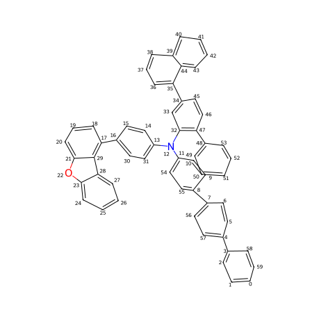 c1ccc(-c2ccc(-c3ccc(N(c4ccc(-c5cccc6oc7ccccc7c56)cc4)c4cc(-c5cccc6ccccc56)ccc4-c4ccccc4)cc3)cc2)cc1